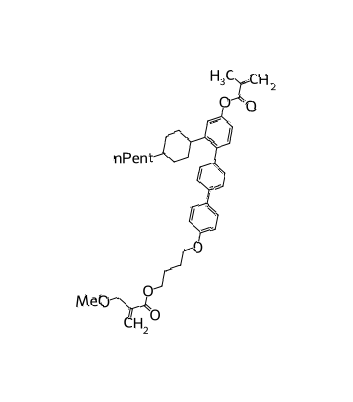 C=C(C)C(=O)Oc1ccc(-c2ccc(-c3ccc(OCCCCOC(=O)C(=C)COC)cc3)cc2)c(C2CCC(CCCCC)CC2)c1